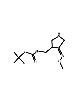 CO/N=C1/CNCC1CNC(=O)OC(C)(C)C